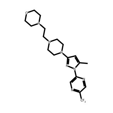 Cc1cc(N2CCN(CCN3CCOCC3)CC2)nn1-c1cnc(C(F)(F)F)cn1